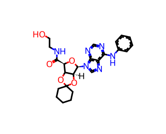 O=C(NCCO)[C@H]1O[C@@H](n2cnc3c(Nc4ccccc4)ncnc32)[C@H]2OC3(CCCCC3)OC12